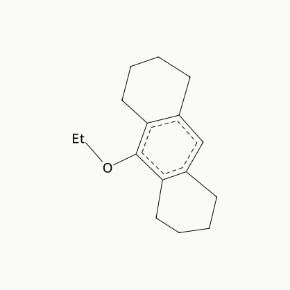 CCOc1c2c(cc3c1CCCC3)CCCC2